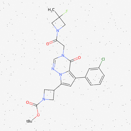 CC1(F)CN(C(=O)Cn2cnn3c(C4CN(C(=O)OC(C)(C)C)C4)cc(-c4cccc(Cl)c4)c3c2=O)C1